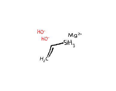 C=C[SiH3].[Mg+2].[OH-].[OH-]